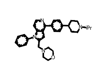 CC(C)N1CCC(c2ccc(-c3nccc4c3cc(CN3CCOCC3)n4-c3ccccc3)cc2)CC1